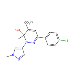 CCOC(=O)C1=CC(c2ccc(Cl)cc2)=NN(c2cnn(C)c2)C1(C)O